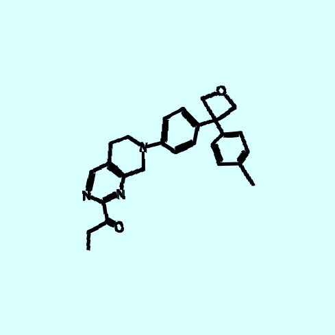 CCC(=O)c1ncc2c(n1)CN(c1ccc(C3(c4ccc(C)cc4)COC3)cc1)CC2